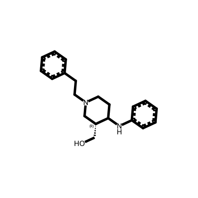 OC[C@@H]1CN(CCc2ccccc2)CCC1Nc1ccccc1